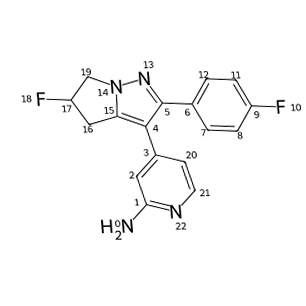 Nc1cc(-c2c(-c3ccc(F)cc3)nn3c2CC(F)C3)ccn1